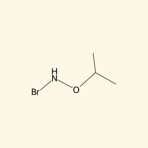 CC(C)ONBr